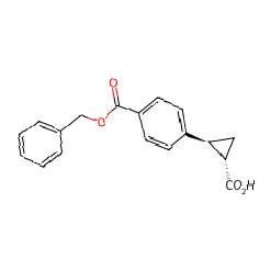 O=C(OCc1ccccc1)c1ccc([C@H]2C[C@@H]2C(=O)O)cc1